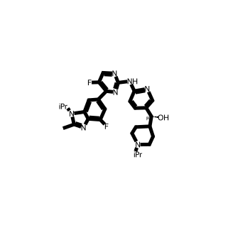 Cc1nc2c(F)cc(-c3nc(Nc4ccc([C@H](O)C5CCN(C(C)C)CC5)cn4)ncc3F)cc2n1C(C)C